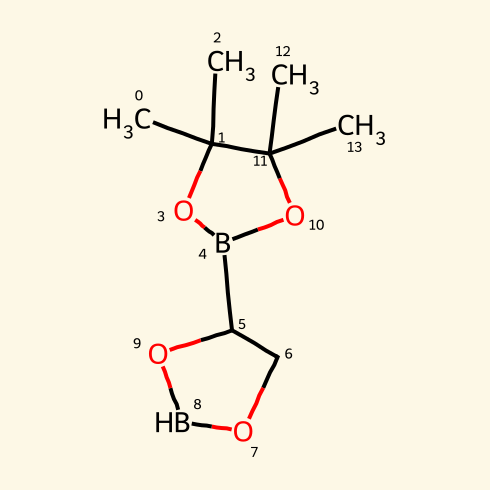 CC1(C)OB(C2COBO2)OC1(C)C